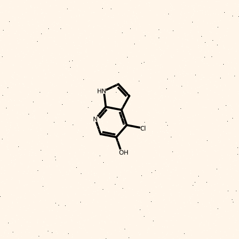 Oc1cnc2[nH]ccc2c1Cl